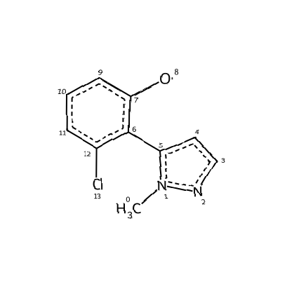 Cn1nccc1-c1c([O])cccc1Cl